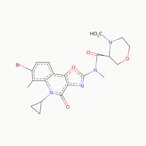 Cc1c(Br)ccc2c3oc(N(C)C(=O)C4COCCN4C(=O)O)nc3c(=O)n(C3CC3)c12